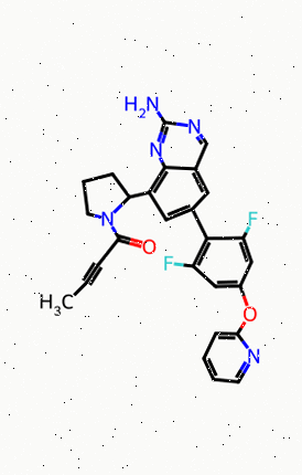 CC#CC(=O)N1CCCC1c1cc(-c2c(F)cc(Oc3ccccn3)cc2F)cc2cnc(N)nc12